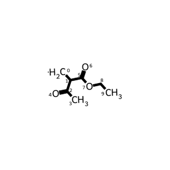 [CH2]C(C(C)=O)C(=O)OCC